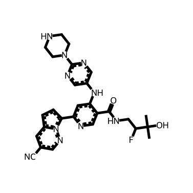 CC(C)(O)C(F)CNC(=O)c1cnc(-c2ccc3cc(C#N)cnn23)cc1Nc1cnc(N2CCNCC2)nc1